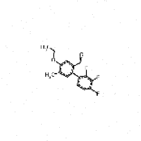 CCOc1cc(C=O)c(-c2ccc(F)c(F)c2F)cc1C